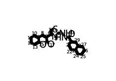 O=C(NNc1nc(-c2cc3ccccc3oc2=O)cs1)c1ccc2ccccc2c1